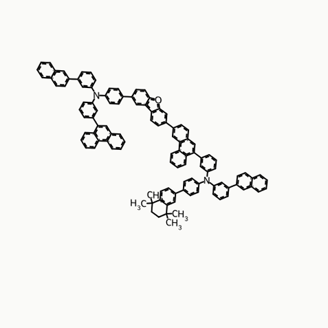 CC1(C)CCC(C)(C)c2cc(-c3ccc(N(c4cccc(-c5ccc6ccccc6c5)c4)c4cccc(-c5cc6ccc(-c7ccc8c(c7)oc7ccc(-c9ccc(N(c%10cccc(-c%11ccc%12ccccc%12c%11)c%10)c%10cccc(-c%11cc%12ccccc%12c%12ccccc%11%12)c%10)cc9)cc78)cc6c6ccccc56)c4)cc3)ccc21